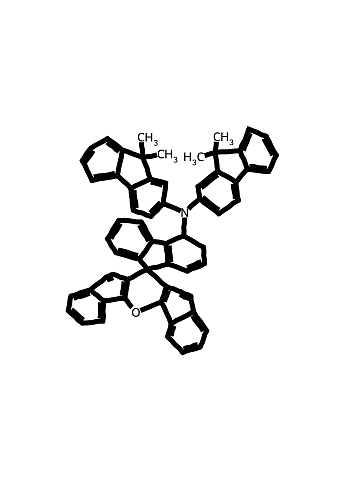 CC1(C)c2ccccc2-c2ccc(N(c3ccc4c(c3)C(C)(C)c3ccccc3-4)C3CC=CC4=C3c3ccccc3C43c4ccc5ccccc5c4Oc4c3ccc3ccccc43)cc21